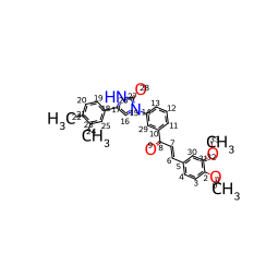 COc1ccc(/C=C/C(=O)c2cccc(-n3cc(-c4ccc(C)c(C)c4)[nH]c3=O)c2)cc1OC